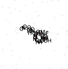 C=C1C[C@@H]2CC[C@]34C[C@@H](O)[C@H](O3)[C@@H]3O[C@H]5CC[C@H](CC(=O)C[C@@H]6[C@@H](OC)[C@@H](C[C@H](O)CNC(=O)OCOC(=O)C7CCC(CN8C(=O)C=CC8=O)CC7)O[C@H]6C[C@H]6O[C@@H](CC[C@@H]1O2)C[C@@H](C)C6=C)O[C@@H]5[C@H](O4)[C@@H]3I